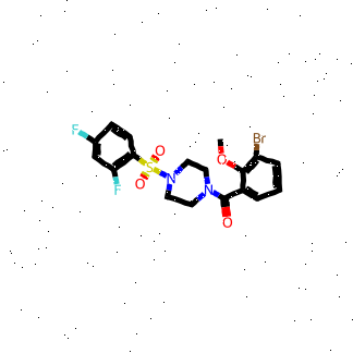 COc1c(Br)cccc1C(=O)N1CCN(S(=O)(=O)c2ccc(F)cc2F)CC1